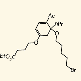 CCCC1(OCCCCCBr)CC(OCCCC(=O)OCC)=CC=C1C(C)=O